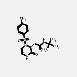 Cc1ccc(S(=O)(=O)N2C=CNC(=O)[C@H]2CC(=O)NC(C)(C)C)cc1